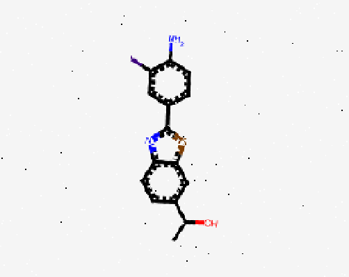 CC(O)c1ccc2nc(-c3ccc(N)c(I)c3)sc2c1